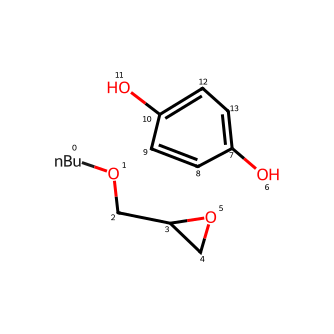 CCCCOCC1CO1.Oc1ccc(O)cc1